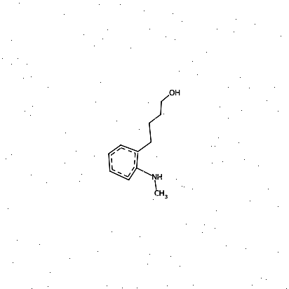 CNc1ccccc1CCCCO